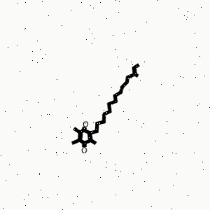 C/C=C(\C)CCCCCCCCCCCCC1=C(C)C(=O)C(C)=C(C)C1=O